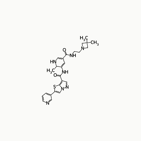 CC1NC=C(C(=O)NCCN2CC(C)(C)C2)C=C1NC(=O)c1cnn2cc(-c3cccnc3)sc12